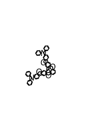 c1ccc(N(c2ccccc2)c2ccc3c(c2)oc2cc4c(cc23)Oc2cccc3c2B4c2cc4oc5cc(N(c6ccccc6)c6ccccc6)ccc5c4cc2O3)cc1